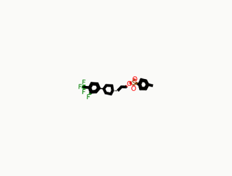 Cc1ccc(S(=O)(=O)OCCC[C@H]2CC[C@H](c3ccc(C(F)(F)F)c(F)c3)CC2)cc1